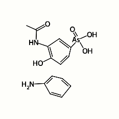 CC(=O)Nc1cc([As](=O)(O)O)ccc1O.Nc1ccccc1